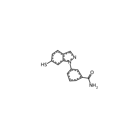 NC(=O)c1cccc(-n2ncc3ccc(S)cc32)c1